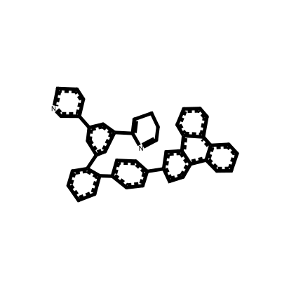 C1=NC(c2cc(-c3cccnc3)cc(-c3ccccc3-c3ccc(-c4ccc5c6ccccc6c6ccccc6c5c4)cc3)c2)=CCC1